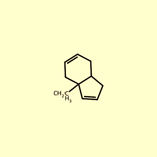 CC12C=CCC1CC=CC2.[CH2]